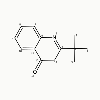 CC(C)(C)C1=Nc2ccccc2C(=O)C1